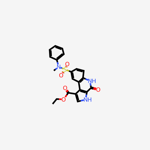 CCOC(=O)c1c[nH]c2c(=O)[nH]c3ccc(S(=O)(=O)N(C)c4ccccc4)cc3c12